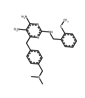 CN(C)Cc1ccc(Cc2nc(NCc3ccccc3SC(F)(F)F)nc(N)c2[N+](=O)[O-])cc1